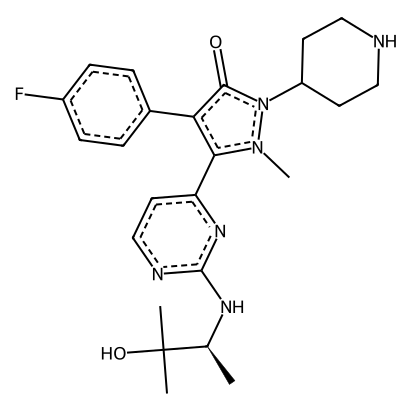 C[C@H](Nc1nccc(-c2c(-c3ccc(F)cc3)c(=O)n(C3CCNCC3)n2C)n1)C(C)(C)O